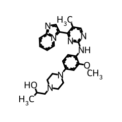 COc1cc(N2CCN(CC(C)O)CC2)ccc1Nc1ncc(C)c(-c2cnc3ccccn23)n1